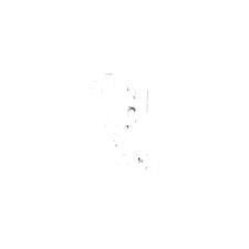 C[C@@H](OC[C@H](O)CNC(C)(C)Cc1ccc2ccccc2c1)c1ccccc1OCc1cccc(C(=O)O)c1